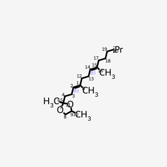 C/C(=C\CCC1(C)OCC(C)O1)CC/C=C(\C)CCCC(C)C